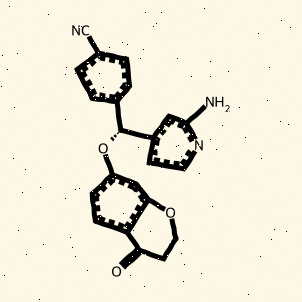 N#Cc1ccc([C@@H](Oc2ccc3c(c2)OCCC3=O)c2ccnc(N)c2)cc1